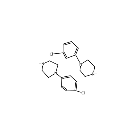 Clc1ccc(N2CCNCC2)cc1.Clc1cccc(N2CCNCC2)c1